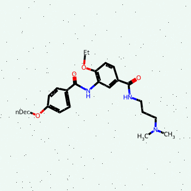 CCCCCCCCCCOc1ccc(C(=O)Nc2cc(C(=O)NCCCN(C)C)ccc2OCC)cc1